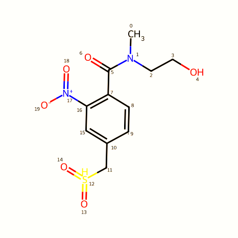 CN(CCO)C(=O)c1c[c]c(C[SH](=O)=O)cc1[N+](=O)[O-]